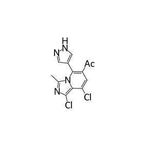 CC(=O)c1cc(Cl)c2c(Cl)nc(C)n2c1-c1cn[nH]c1